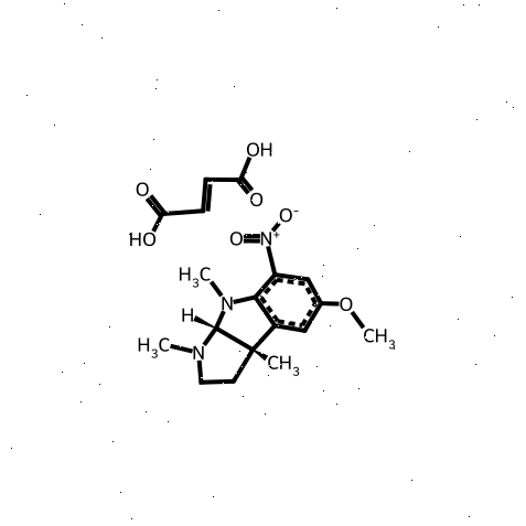 COc1cc([N+](=O)[O-])c2c(c1)[C@]1(C)CCN(C)[C@@H]1N2C.O=C(O)C=CC(=O)O